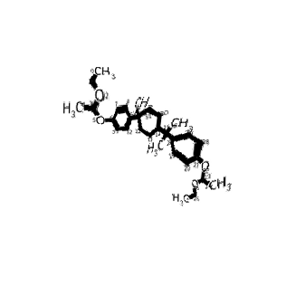 CCOC(C)Oc1ccc(C2(C)CCC(C(C)(C)c3ccc(OC(C)OCC)cc3)CC2)cc1